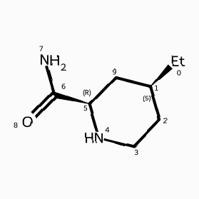 CC[C@H]1CCN[C@@H](C(N)=O)C1